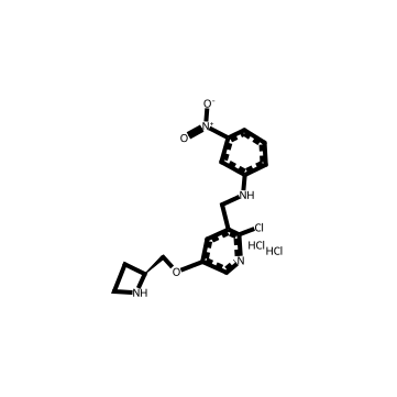 Cl.Cl.O=[N+]([O-])c1cccc(NCc2cc(OC[C@@H]3CCN3)cnc2Cl)c1